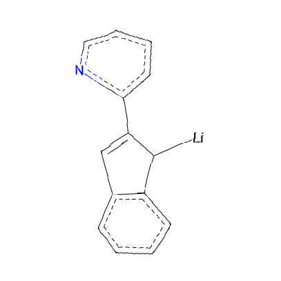 [Li][CH]1C(c2ccccn2)=Cc2ccccc21